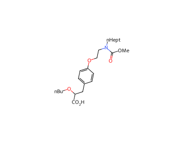 CCCCCCCN(CCOc1ccc(CC(OCCCC)C(=O)O)cc1)C(=O)OC